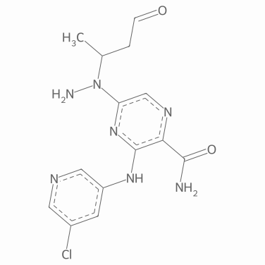 CC(CC=O)N(N)c1cnc(C(N)=O)c(Nc2cncc(Cl)c2)n1